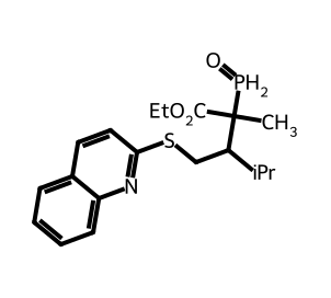 CCOC(=O)C(C)([PH2]=O)C(CSc1ccc2ccccc2n1)C(C)C